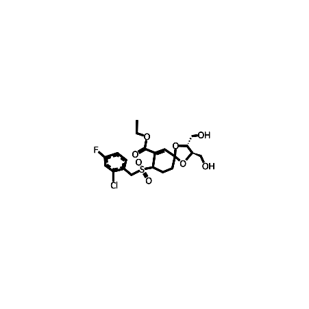 CCOC(=O)C1=CC2(CCC1S(=O)(=O)Cc1ccc(F)cc1Cl)O[C@H](CO)[C@@H](CO)O2